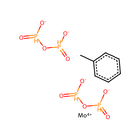 Cc1ccccc1.O=[PH]([O-])O[PH](=O)[O-].O=[PH]([O-])O[PH](=O)[O-].[Mo+4]